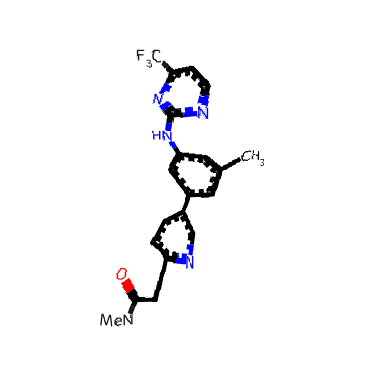 CNC(=O)Cc1ccc(-c2cc(C)cc(Nc3nccc(C(F)(F)F)n3)c2)cn1